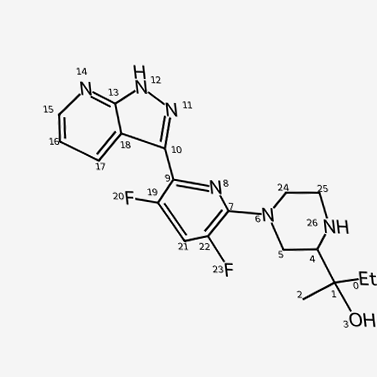 CCC(C)(O)C1CN(c2nc(-c3n[nH]c4ncccc34)c(F)cc2F)CCN1